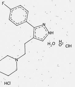 Cl.Cl.Fc1ccc(-c2n[nH]cc2CCN2CCCCC2)cc1.O.O